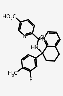 Cc1ccc([C@@]2(NC(=O)c3ccc(C(=O)O)cn3)CCCc3cccnc32)cc1F